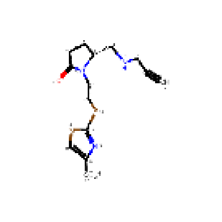 C#CCNC[C@H]1CCC(=O)N1CCSc1nc(C(=O)O)cs1